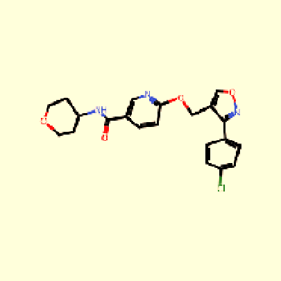 O=C(NC1CCOCC1)c1ccc(OCc2conc2-c2ccc(Cl)cc2)nc1